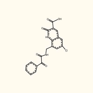 O=C(NCc1cc(Cl)cc2cc(C(=O)O)c(=O)[nH]c12)C(=O)c1ccccc1